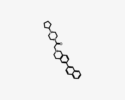 O=C(CN1CCc2cc(-c3ccc4ccccc4c3)ccc2C1)N1CCN(C2CCCC2)CC1